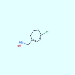 ONCC1=CC=C(Cl)CCC1